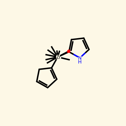 [CH3][Zr]([CH3])([CH3])([CH3])([CH3])([CH3])([CH3])([CH3])([CH3])([C]1=CC=CC1)[c]1ccc[nH]1